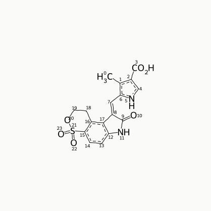 Cc1c(C(=O)O)c[nH]c1/C=C1\C(=O)Nc2ccc3c(c21)CCOS3(=O)=O